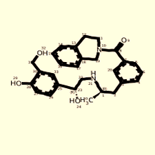 C[C@H](Cc1cccc(C(=O)N2CCc3ccccc3C2)c1)NC[C@H](O)c1ccc(O)c(CO)c1